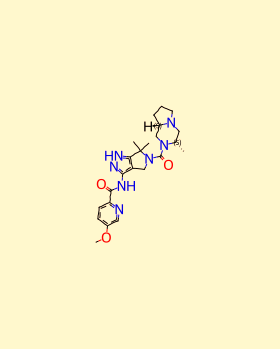 COc1ccc(C(=O)Nc2n[nH]c3c2CN(C(=O)N2C[C@@H]4CCCN4C[C@@H]2C)C3(C)C)nc1